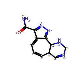 NC(=O)C1=NN=C2C1=CC=CC1C=NCNC21